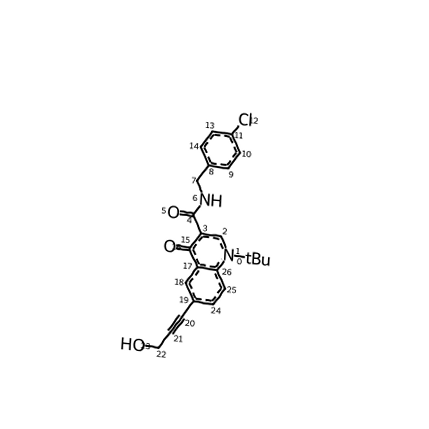 CC(C)(C)n1cc(C(=O)NCc2ccc(Cl)cc2)c(=O)c2cc(C#CCO)ccc21